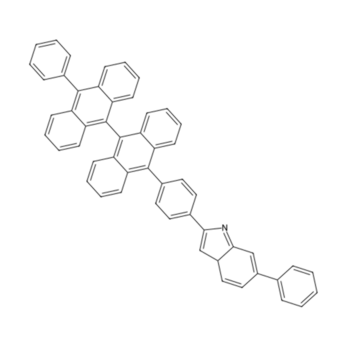 C1=CC2C=C(c3ccc(-c4c5ccccc5c(-c5c6ccccc6c(-c6ccccc6)c6ccccc56)c5ccccc45)cc3)N=C2C=C1c1ccccc1